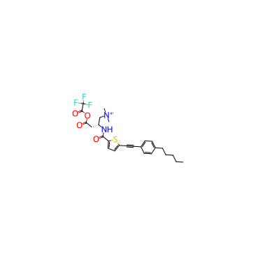 CCCCCc1ccc(C#Cc2ccc(C(=O)N[C@H](CC(=O)OC(=O)C(F)(F)F)C[N+](C)(C)C)s2)cc1